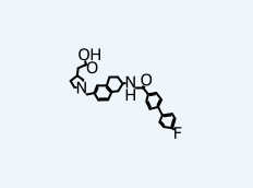 O=C(O)CC1CCN(Cc2ccc3c(c2)CCC(NCC(=O)c2ccc(-c4ccc(F)cc4)cc2)C3)C1